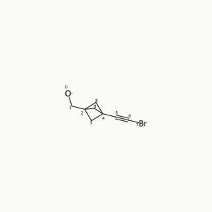 [O]CC12CC(C#CBr)(C1)C2